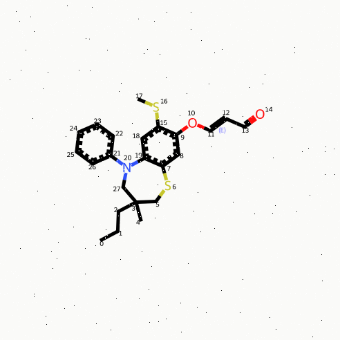 CCCC1(C)CSc2cc(O/C=C/C=O)c(SC)cc2N(c2ccccc2)C1